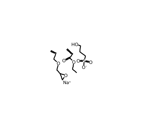 C=CC(=O)OCC.C=CCOCC1CO1.O=S(=O)([O-])CCCO.[Na+]